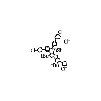 CC(C)(C)c1cc2c(cc1-c1ccccc1)Cc1c-2cc(C(C)(C)C)c(-c2ccccc2)[c]1[Zr+2]([C]1=CC=CC1)=[C](c1ccc(-c2ccc(Cl)cc2)cc1)c1ccc(-c2ccc(Cl)cc2)cc1.[Cl-].[Cl-]